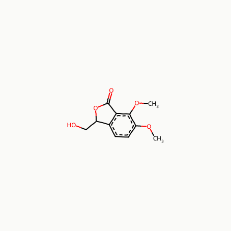 COc1ccc2c(c1OC)C(=O)OC2CO